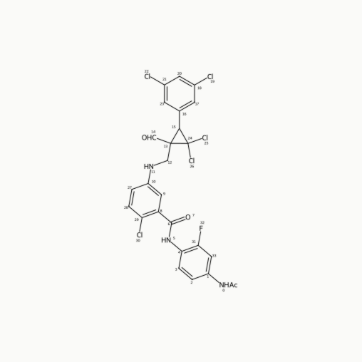 CC(=O)Nc1ccc(NC(=O)c2cc(NCC3(C=O)C(c4cc(Cl)cc(Cl)c4)C3(Cl)Cl)ccc2Cl)c(F)c1